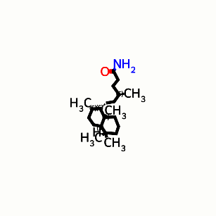 C[C@H](CCC(N)=O)CC[C@H]1[C@@H](C)CC[C@H]2C(C)(C)CCC[C@]12C